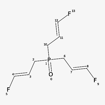 O=P(CC=CF)(CC=CF)CC=CF